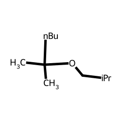 CCCCC(C)(C)OCC(C)C